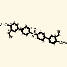 COc1ccc(-c2ccc(S(=O)(=O)c3ccc(-c4ccc(OC)c(CBr)c4)cc3)cc2)cc1CBr